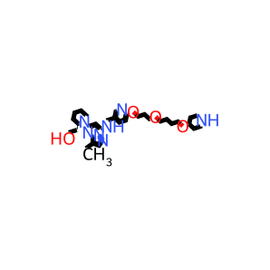 CCc1cnn2c(NCc3ccc(OCCCOCCCCOC4CCNCC4)nc3)cc(N3CCCC[C@H]3CCO)nc12